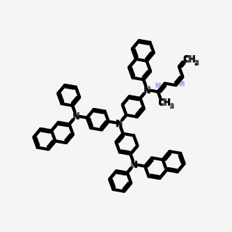 C=C/C=C\C=C(/C)N(C1=CCC(N(C2=CC=C(N(c3ccccc3)c3ccc4ccccc4c3)CC2)c2ccc(N(c3ccccc3)c3ccc4ccccc4c3)cc2)C=C1)c1ccc2ccccc2c1